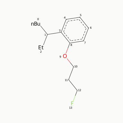 CCCCC(CC)c1ccccc1OCCCF